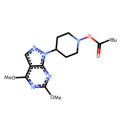 COc1nc(OC)c2cnn(C3CCN(OC(=O)C(C)(C)C)CC3)c2n1